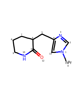 CCCn1cnc(CC2CCCNC2=O)c1